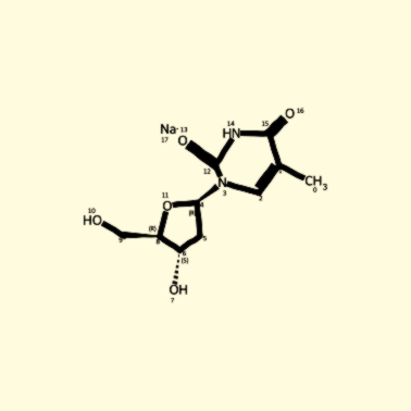 Cc1cn([C@H]2C[C@H](O)[C@@H](CO)O2)c(=O)[nH]c1=O.[Na]